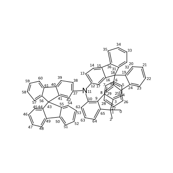 CC1(C)c2ccccc2-c2c(N(c3ccc4c(c3)C3(c5ccccc5-c5ccccc53)c3ccccc3-4)c3ccc4c(c3)C3(c5ccccc5-c5ccccc53)c3ccccc3-4)cccc21